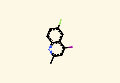 Cc1cc(I)c2cc(F)ccc2n1